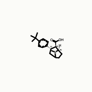 CN1C2CC[C@@H]1[C@H](C(=O)O)[C@@H](c1ccc(C(C)(C)C)cc1)C2